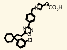 O=C(O)OC1CN(Cc2ccc(-c3noc(CCC4(c5cccc(Cl)c5)CCCCC4)n3)cc2)C1